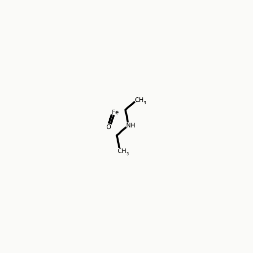 CCNCC.[O]=[Fe]